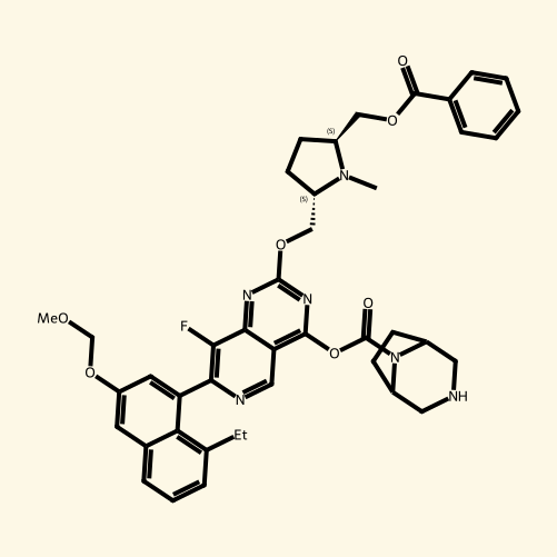 CCc1cccc2cc(OCOC)cc(-c3ncc4c(OC(=O)N5C6CCC5CNC6)nc(OC[C@@H]5CC[C@@H](COC(=O)c6ccccc6)N5C)nc4c3F)c12